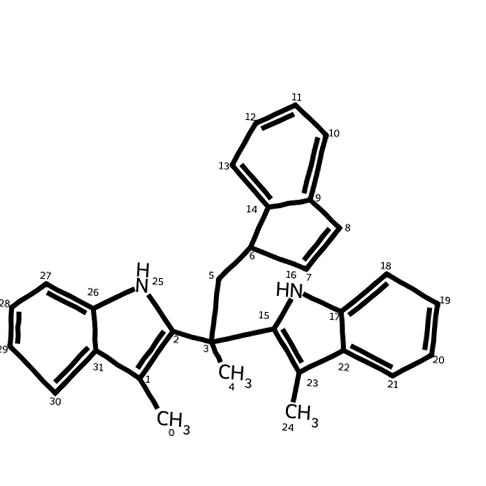 Cc1c(C(C)(CC2C=Cc3ccccc32)c2[nH]c3ccccc3c2C)[nH]c2ccccc12